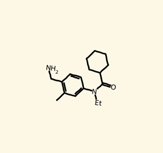 CCN(C(=O)C1CCCCC1)c1ccc(CN)c(C)c1